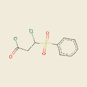 O=C(Cl)CC(Cl)S(=O)(=O)c1ccccc1